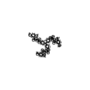 COc1ccc(OC)c(C(=O)OOC(=O)OC2CCC(C(C3CCC(OC(=O)OOC(=O)c4cc(OC)ccc4OC)CC3)C3CCC(OC(=O)OOC(=O)c4cc(OC)ccc4OC)CC3)CC2)c1